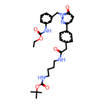 CCOC(=O)Nc1cccc(Cn2nc(-c3ccc(CC(=O)NCCCCNC(=O)OC(C)(C)C)cc3)ccc2=O)c1